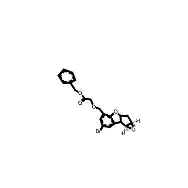 O=C(COCc1cc(Br)cc2c1OC1C[C@H]3O[C@H]3C21)OCc1ccccc1